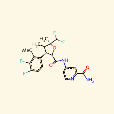 COc1c([C@H]2[C@@H](C)[C@@](C)(C(F)F)O[C@H]2C(=O)Nc2ccnc(C(N)=O)c2)ccc(F)c1F